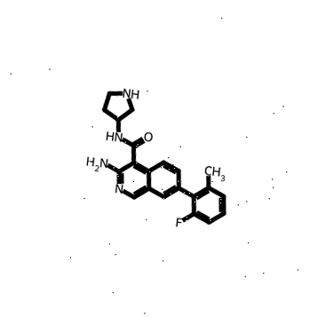 Cc1cccc(F)c1-c1ccc2c(C(=O)NC3CCNC3)c(N)ncc2c1